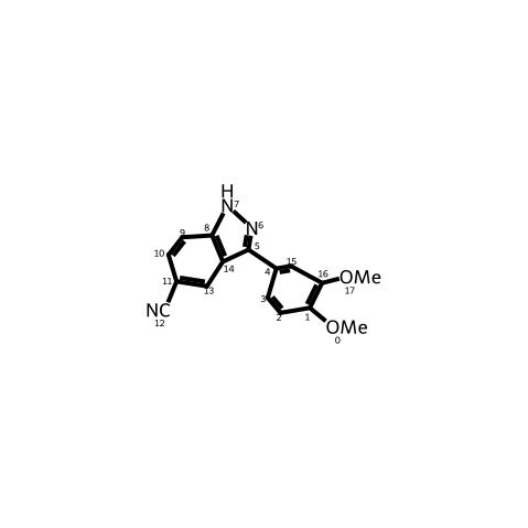 COc1ccc(-c2n[nH]c3ccc(C#N)cc23)cc1OC